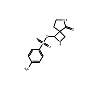 Cc1ccc(S(=O)(=O)OC2NCC23CCNC3=O)cc1